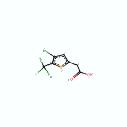 O=C(O)Cc1cc(Br)c(C(F)(F)F)s1